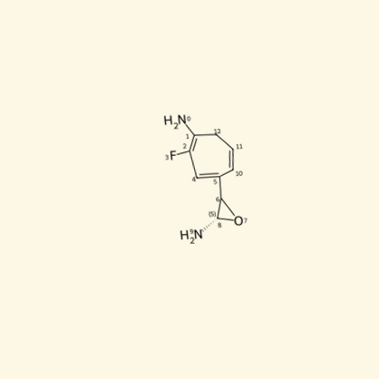 NC1=C(F)C=C(C2O[C@@H]2N)C=CC1